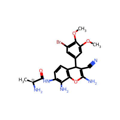 COc1cc(C2C(C#N)=C(N)Oc3c2ccc(NC(=O)[C@H](C)N)c3N)cc(Br)c1OC